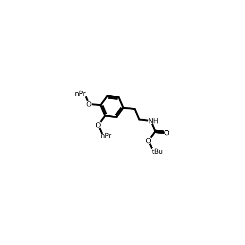 CCCOc1ccc(CCNC(=O)OC(C)(C)C)cc1OCCC